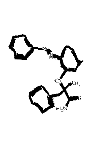 CC(Oc1ccccc1N=Nc1ccccc1)(C(N)=O)c1ccccc1